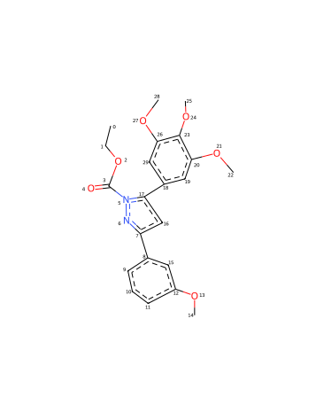 CCOC(=O)n1nc(-c2cccc(OC)c2)cc1-c1cc(OC)c(OC)c(OC)c1